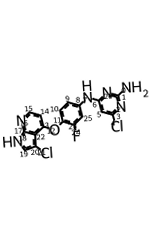 Nc1nc(Cl)cc(Nc2ccc(Oc3ccnc4[nH]cc(Cl)c34)c(F)c2)n1